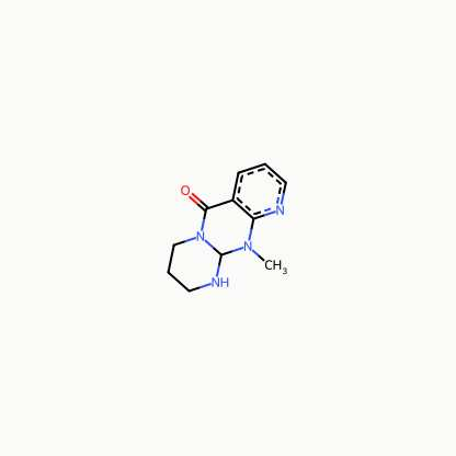 CN1c2ncccc2C(=O)N2CCCNC21